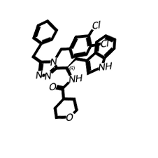 O=C(N[C@H](Cc1c[nH]c2ccccc12)c1nnc(CC2=CCCC=C2)n1Cc1ccc(Cl)c(Cl)c1)C1CCOCC1